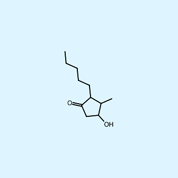 CCCCCC1C(=O)CC(O)C1C